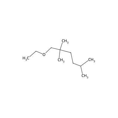 CCOCC(C)(C)CCC(C)C